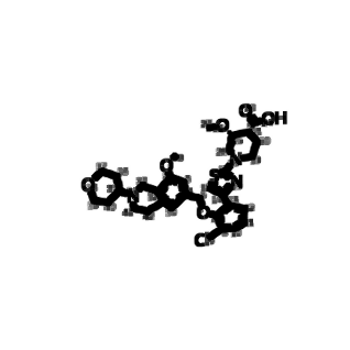 COc1cc(COc2c(Cl)cccc2-c2csc(N3CC[C@@H](C(=O)O)[C@@H](OC)C3)n2)cc2c1CN(C1CCOCC1)CC2